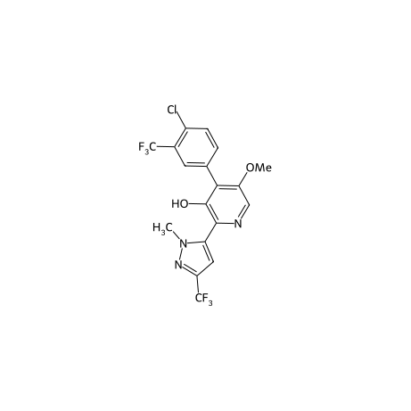 COc1cnc(-c2cc(C(F)(F)F)nn2C)c(O)c1-c1ccc(Cl)c(C(F)(F)F)c1